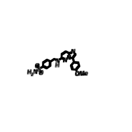 COc1ccc(-c2cnc3ccc(NCc4ccc(S(N)(=O)=O)cc4)nn23)cc1